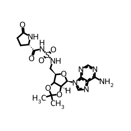 CC1(C)OC2[C@@H](CNS(=O)(=O)NC(=O)[C@@H]3CCC(=O)N3)O[C@@H](n3cnc4c(N)ncnc43)[C@H]2O1